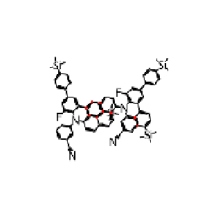 C[Si](C)(C)c1ccc(-c2cc(F)c(N(c3cccc(C#N)c3)c3ccc4ccc5c(N(c6cccc(C#N)c6)c6c(F)cc(-c7ccc([Si](C)(C)C)cc7)cc6-c6ccc([Si](C)(C)C)cc6)ccc6ccc3c4c65)c(-c3ccc([Si](C)(C)C)cc3)c2)cc1